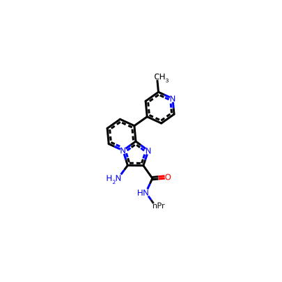 CCCNC(=O)c1nc2c(-c3ccnc(C)c3)cccn2c1N